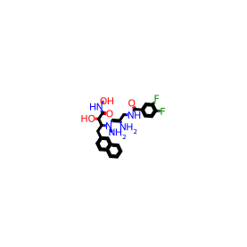 N/C(=C\N(N)C(Cc1ccc2ccccc2c1)C(O)C(=O)NO)CNC(=O)c1ccc(F)c(F)c1